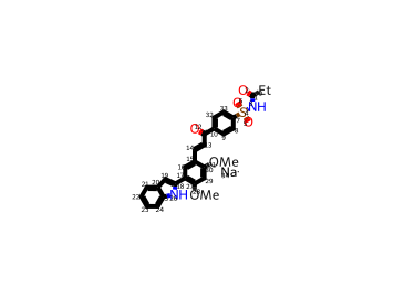 CCC(=O)NS(=O)(=O)c1ccc(C(=O)C=Cc2cc(-c3cc4ccccc4[nH]3)c(OC)cc2OC)cc1.[Na]